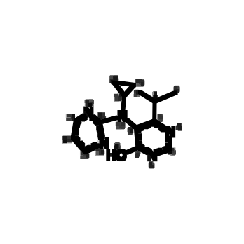 CC(C)c1n[c]nc(O)c1N(c1ncccn1)C1CC1